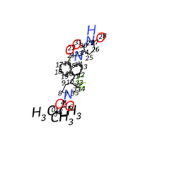 CC(C)(C)OC(=O)N1CCC(c2ccc3c4c(cccc24)C(=O)N3C2CCC(=O)NC2=O)C(F)(F)C1